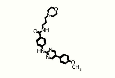 COc1ccc(-c2cnc(Nc3ccc(C(=O)NCCCN4CCOCC4)cc3)nc2)cc1